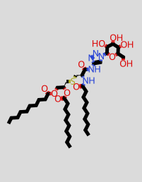 CCCCCCCCCC(=O)N[C@H](CSC[C@@H](COC(=O)CCCCCCCCC)OC(=O)CCCCCCCCC)C(=O)Nc1cn(C2OC(CO)C(O)C(O)C2O)nn1